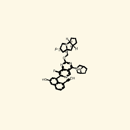 C#Cc1cccc2cc(O)cc(-c3ncc4c(N5CC6CCC(C5)N6)nc(OC[C@@]56C[C@H](F)CN5[C@@H]5CCC[C@@H]5C6)nc4c3F)c12